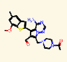 COc1cc(C)cc2cc(-c3c(C=O)c(CN4CCN(C(C)=O)CC4)n4ncnc(N)c34)sc12